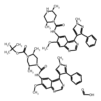 COc1cc2ncnc(-c3cn(C)nc3-c3ccccc3)c2cc1NC(=O)N1C[C@H](C)N(C(=O)OC(C)(C)C)C[C@@H]1C.COc1cc2ncnc(-c3cn(C)nc3-c3ccccc3)c2cc1NC(=O)N1C[C@H](C)NC[C@@H]1C.O=CO